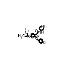 CCC(CC)Oc1ccc2c(C(=O)NC3CCNCC3)nn(Cc3ccc(Cl)cc3)c2n1